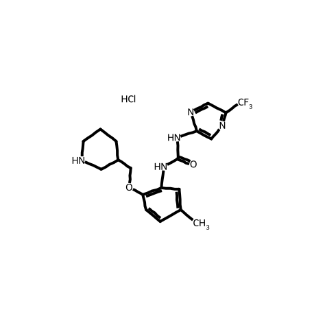 Cc1ccc(OCC2CCCNC2)c(NC(=O)Nc2cnc(C(F)(F)F)cn2)c1.Cl